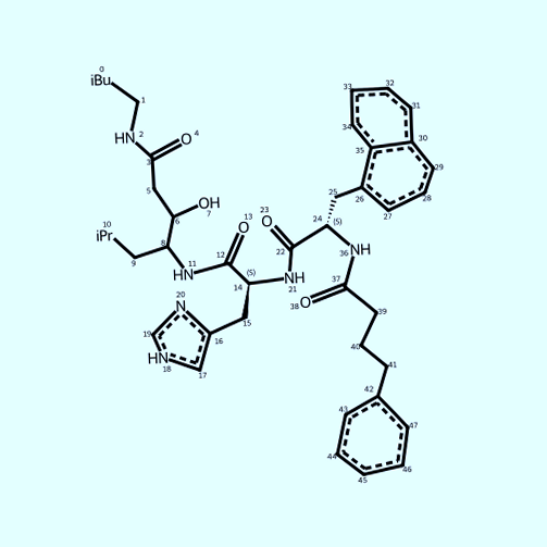 CCC(C)CNC(=O)CC(O)C(CC(C)C)NC(=O)[C@H](Cc1c[nH]cn1)NC(=O)[C@H](Cc1cccc2ccccc12)NC(=O)CCCc1ccccc1